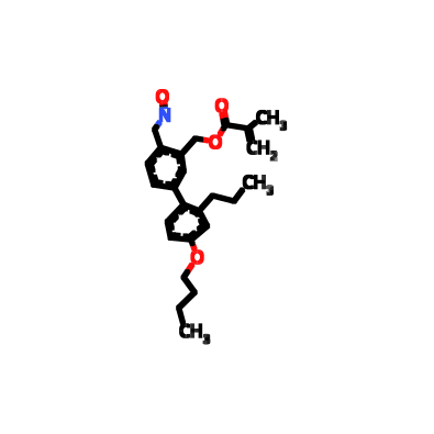 C=C(C)C(=O)OCc1cc(-c2ccc(OCCCC)cc2CCC)ccc1CN=O